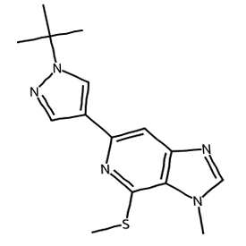 CSc1nc(-c2cnn(C(C)(C)C)c2)cc2ncn(C)c12